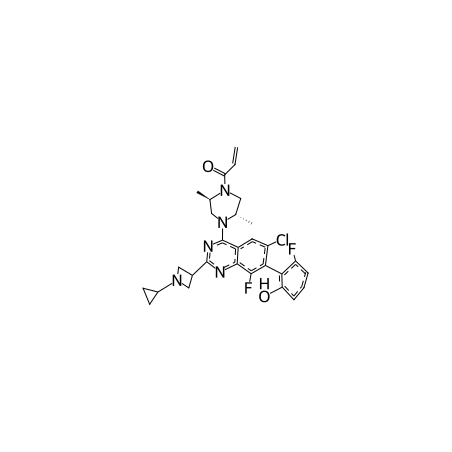 C=CC(=O)N1C[C@H](C)N(c2nc(C3CN(C4CC4)C3)nc3c(F)c(-c4c(O)cccc4F)c(Cl)cc23)C[C@H]1C